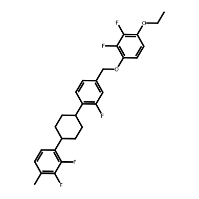 CCOc1ccc(OCc2ccc(C3CCC(c4ccc(C)c(F)c4F)CC3)c(F)c2)c(F)c1F